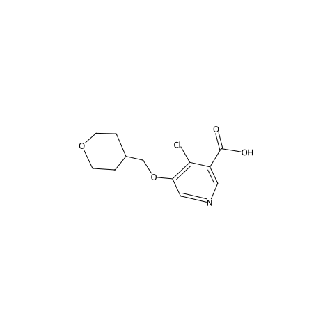 O=C(O)c1cncc(OCC2CCOCC2)c1Cl